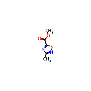 COC(=O)c1nc(C)ns1